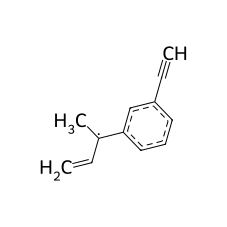 C#Cc1cccc([C](C)C=C)c1